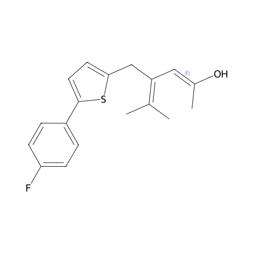 CC(C)=C(/C=C(\C)O)Cc1ccc(-c2ccc(F)cc2)s1